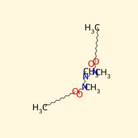 CCCCCCCCCCCCCOC(=O)CCN(C)CCCN(CC)CCCN(C)CCC(=O)OCCCCCCCCCCCCC